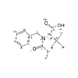 CCC(=O)N(Cc1ccccc1)[C@H](C(=O)O)C(C)(C)C